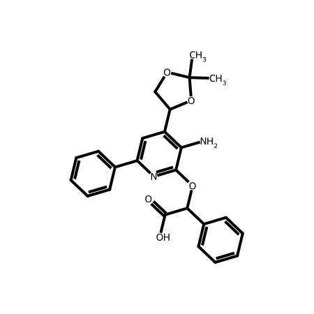 CC1(C)OCC(c2cc(-c3ccccc3)nc(OC(C(=O)O)c3ccccc3)c2N)O1